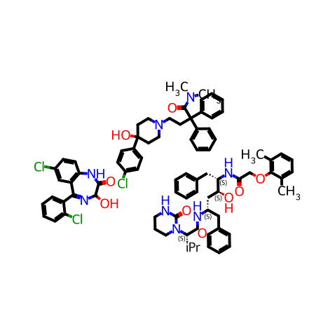 CN(C)C(=O)C(CCN1CCC(O)(c2ccc(Cl)cc2)CC1)(c1ccccc1)c1ccccc1.Cc1cccc(C)c1OCC(=O)N[C@@H](Cc1ccccc1)[C@@H](O)C[C@H](Cc1ccccc1)NC(=O)[C@H](C(C)C)N1CCCNC1=O.O=C1Nc2ccc(Cl)cc2C(c2ccccc2Cl)=NC1O